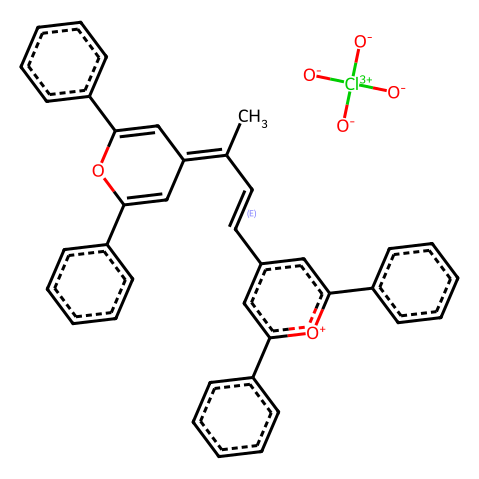 CC(/C=C/c1cc(-c2ccccc2)[o+]c(-c2ccccc2)c1)=C1C=C(c2ccccc2)OC(c2ccccc2)=C1.[O-][Cl+3]([O-])([O-])[O-]